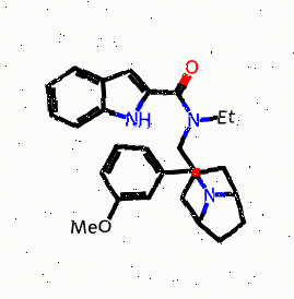 CCN(CC1CC2CCC(C1)N2Cc1cccc(OC)c1)C(=O)c1cc2ccccc2[nH]1